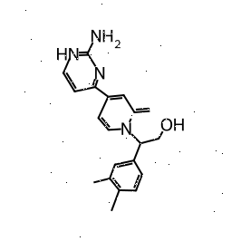 C=C/C=C(\C=C/N(C)C(CO)c1ccc(C)c(C)c1)C(/C=C\C)=N/C(=N)N